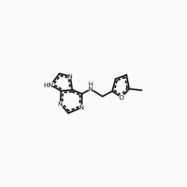 Cc1ccc(CNc2ncnc3[nH]cnc23)o1